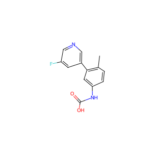 Cc1ccc(NC(=O)O)cc1-c1cncc(F)c1